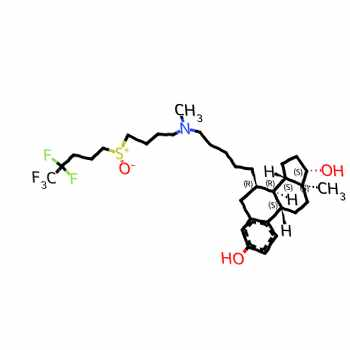 CN(CCCCC[C@@H]1Cc2cc(O)ccc2[C@H]2CC[C@]3(C)[C@@H](O)CC[C@H]3[C@H]12)CCCC[S+]([O-])CCCC(F)(F)C(F)(F)F